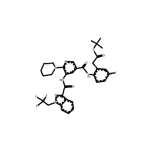 CC(C)(C)OC(=O)Cc1cc(F)ccc1NC(=O)c1cnc(N2CCCCC2)c(NC(=O)c2nn(CC(F)(F)F)c3ccccc23)c1